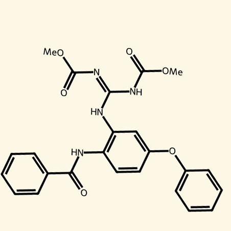 COC(=O)/N=C(/NC(=O)OC)Nc1cc(Oc2ccccc2)ccc1NC(=O)c1ccccc1